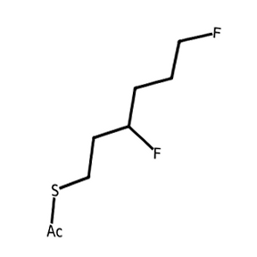 CC(=O)SCCC(F)CCCF